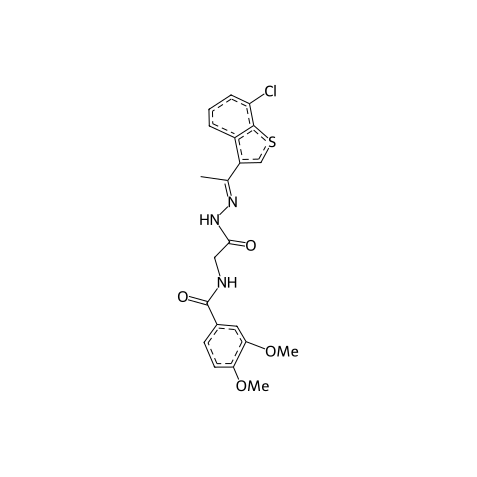 COc1ccc(C(=O)NCC(=O)N/N=C(\C)c2csc3c(Cl)cccc23)cc1OC